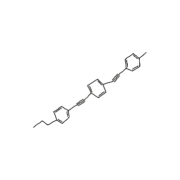 CCCc1ccc(C#Cc2ccc(C#Cc3ccc(C)cc3)cc2)cc1